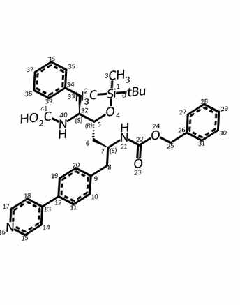 CC(C)(C)[Si](C)(C)O[C@H](C[C@H](Cc1ccc(-c2ccncc2)cc1)NC(=O)OCc1ccccc1)[C@H](Cc1ccccc1)NC(=O)O